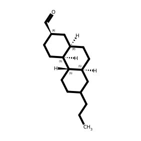 CCCC1CC[C@H]2[C@@H](CC[C@@H]3C[C@H](C=O)CC[C@@H]32)C1